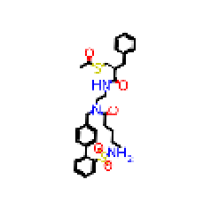 CCCCC(=O)N(CCNC(=O)[C@@H](CSC(C)=O)Cc1ccccc1)Cc1ccc(-c2ccccc2S(N)(=O)=O)cc1